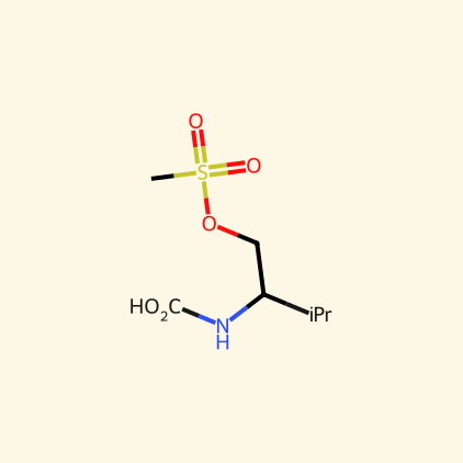 CC(C)C(COS(C)(=O)=O)NC(=O)O